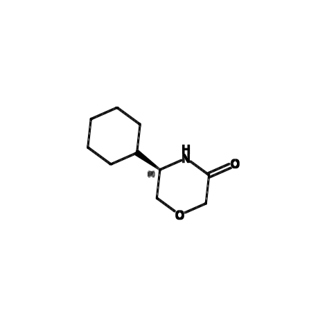 O=C1COC[C@@H](C2CCCCC2)N1